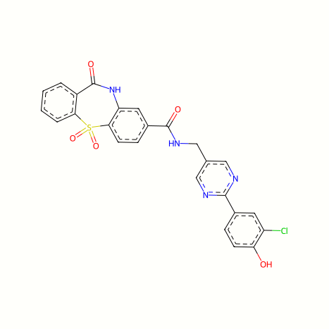 O=C(NCc1cnc(-c2ccc(O)c(Cl)c2)nc1)c1ccc2c(c1)NC(=O)c1ccccc1S2(=O)=O